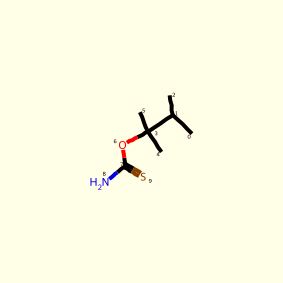 CC(C)C(C)(C)OC(N)=S